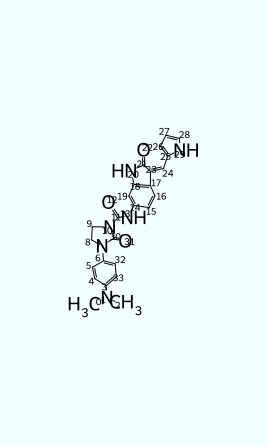 CN(C)c1ccc(N2CCN(C(=O)Nc3ccc4c(c3)NC(=O)/C4=C\c3ccc[nH]3)C2=O)cc1